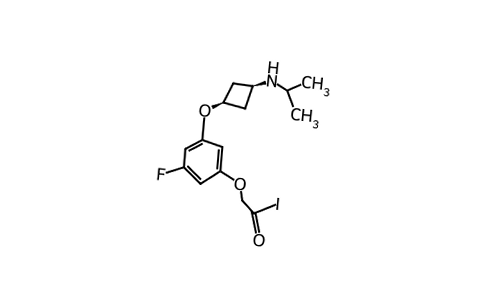 CC(C)N[C@H]1C[C@@H](Oc2cc(F)cc(OCC(=O)I)c2)C1